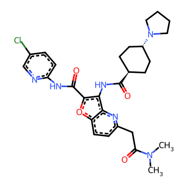 CN(C)C(=O)Cc1ccc2oc(C(=O)Nc3ccc(Cl)cn3)c(NC(=O)[C@H]3CC[C@H](N4CCCC4)CC3)c2n1